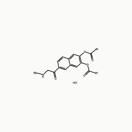 CC(C)C(=O)Oc1cc2ccc(C(=O)CNC(C)(C)C)cc2cc1OC(=O)C(C)C.Cl